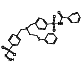 N=NS(=O)(=O)c1ccc(CN(CCSc2ccccc2)Cc2ccc(S(=O)(=O)NC(=O)c3ccccc3)cc2)cc1